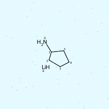 NC1CCCC1.[LiH]